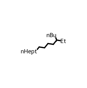 CCCCCCCCCCC[C](CC)CCCC